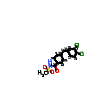 CS(=O)(=O)NC(=O)c1ccc(Cc2ccc(Cl)c(Cl)c2)cc1